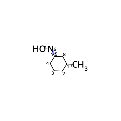 CC1CCC/C(=N\O)C1